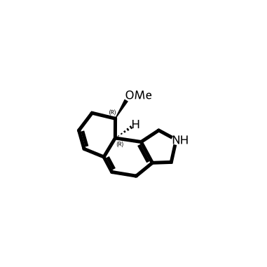 CO[C@@H]1CC=CC2=CCC3=C(CNC3)[C@@H]21